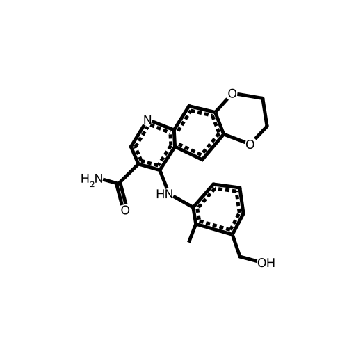 Cc1c(CO)cccc1Nc1c(C(N)=O)cnc2cc3c(cc12)OCCO3